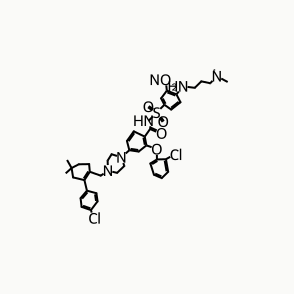 CN(C)CCCNc1ccc(S(=O)(=O)NC(=O)c2ccc(N3CCN(CC4=C(c5ccc(Cl)cc5)CC(C)(C)CC4)CC3)cc2Oc2ccccc2Cl)cc1[N+](=O)[O-]